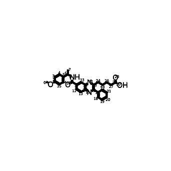 COc1ccc(C(C)NC(=O)c2ccc3nc(-c4ccccc4)c(CCCCC(=O)O)nc3c2)cc1